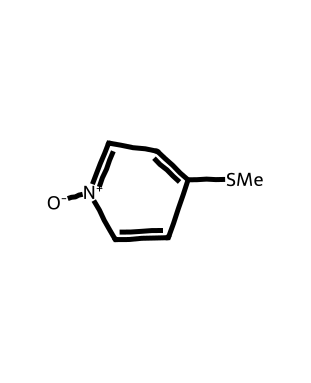 CSc1cc[n+]([O-])cc1